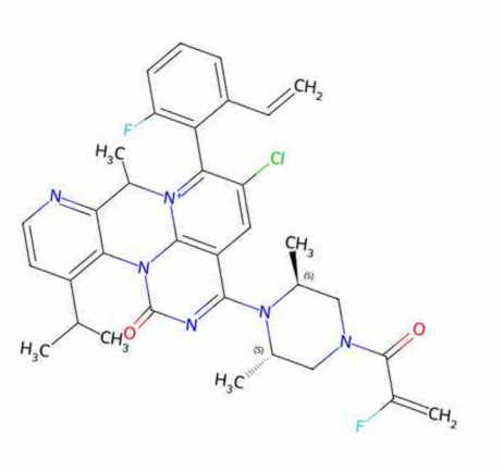 C=Cc1cccc(F)c1-c1c(Cl)cc2c(N3[C@@H](C)CN(C(=O)C(=C)F)C[C@@H]3C)nc(=O)n3c2[n+]1C(C)c1nccc(C(C)C)c1-3